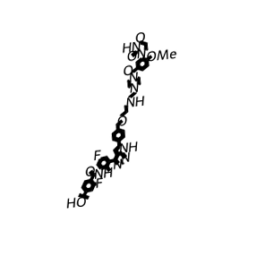 COc1ccc(C(=O)N2CCN(CCNCCCOCc3ccc(-c4cc5c(-c6cc(F)cc(NC(=O)c7ccc(C(C)(C)O)cc7F)c6C)ncnc5[nH]4)cc3)CC2)cc1N1CCC(=O)NC1=O